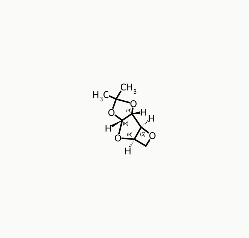 CC1(C)O[C@H]2O[C@@H]3CO[C@@H]3[C@H]2O1